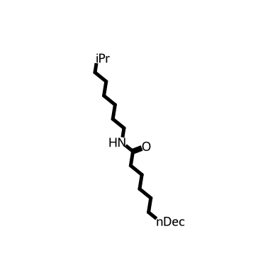 CCCCCCCCCCCCCCCC(=O)NCCCCCCC(C)C